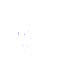 Cc1c(/C=C2\C(=O)Nc3ccc(Cl)cc32)[nH]c2ccccc12